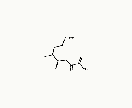 C=C(NCC(C)C(C)CCCCCCCCCC)C(C)C